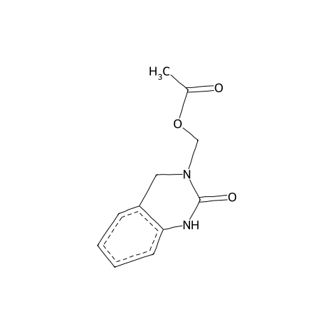 CC(=O)OCN1Cc2ccccc2NC1=O